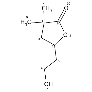 CC1(C)CC(CCO)OC1=O